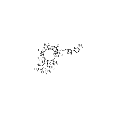 CCO[C@@H](O[C@@H]1[C@H](C)C(=O)C(C)(F)C(=O)O[C@H](CC)[C@@]2(C)OC(=O)N(CCCCn3cc(-c4cccc(N)n4)nn3)[C@@H]2[C@@H](C)NC[C@H](C)C[C@@]1(C)OC)C(O)C(CC)N(C)C